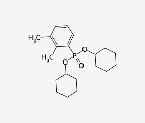 Cc1cccc(P(=O)(OC2CCCCC2)OC2CCCCC2)c1C